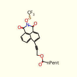 CCCCCC(=O)OCC#Cc1ccc2c3c(cccc13)C(=O)N(OSC(F)(F)F)C2=O